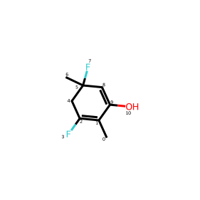 CC1=C(F)CC(C)(F)C=C1O